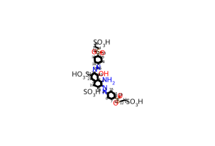 Nc1c(N=Nc2ccc(S(=O)(=O)CCS(=O)(=O)O)cc2)c(S(=O)(=O)O)cc2cc(S(=O)(=O)O)c(N=Nc3ccc(S(=O)(=O)CCS(=O)(=O)O)cc3)c(O)c12